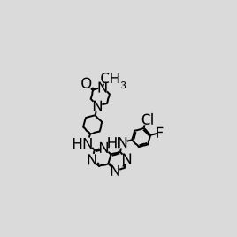 CN1CCN(C2CCC(Nc3ncc4ncnc(Nc5ccc(F)c(Cl)c5)c4n3)CC2)CC1=O